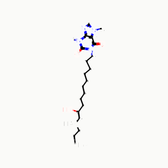 CCCCCCCCCCCC[AsH]CC(O)CCCCCCCCCn1c(=O)c2c(ncn2C)n(C)c1=O